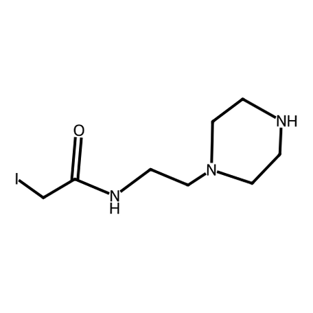 O=C(CI)NCCN1CCNCC1